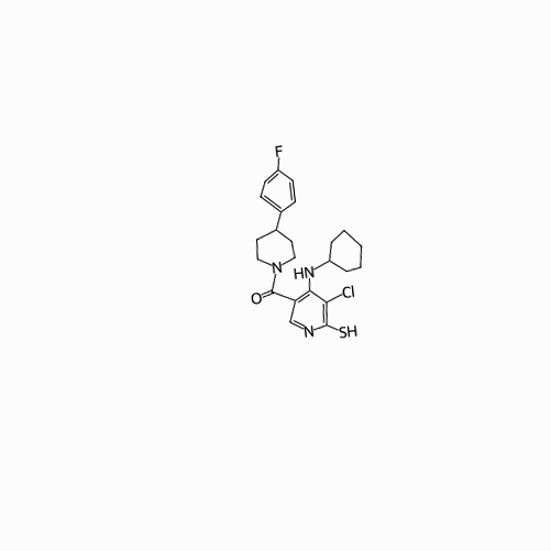 O=C(c1cnc(S)c(Cl)c1NC1CCCCC1)N1CCC(c2ccc(F)cc2)CC1